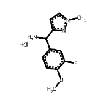 COc1ccc(C(N)c2ccn(C)n2)cc1F.Cl